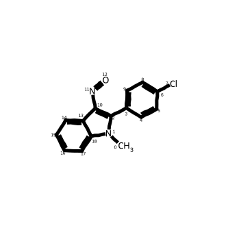 Cn1c(-c2ccc(Cl)cc2)c(N=O)c2ccccc21